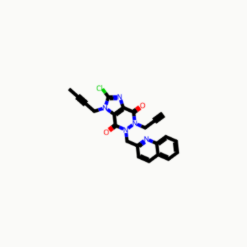 C#CCn1c(=O)c2nc(Cl)n(CC#CC)c2c(=O)n1Cc1ccc2ccccc2n1